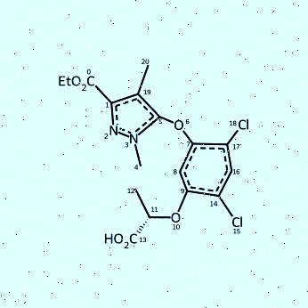 CCOC(=O)c1nn(C)c(Oc2cc(O[C@@H](C)C(=O)O)c(Cl)cc2Cl)c1C